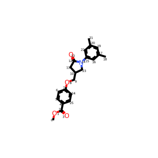 COC(=O)c1ccc(OCC2CC(=O)N(c3cc(C)cc(C)c3)C2)cc1